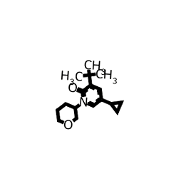 CC(C)(C)c1cc(C2CC2)cn(C2CCCOC2)c1=O